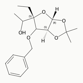 CC[C@@]1(C(C)O)O[C@@H]2OC(C)(C)O[C@H]2C1OCc1ccccc1